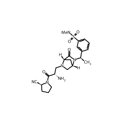 CNS(=O)(=O)c1cccc([C@@H](C)N2C(=O)[C@@H]3C[C@H]2CN3C[C@H](N)C(=O)N2CCC[C@H]2C#N)c1